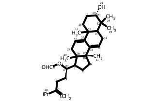 C=C(CC[C@@H](OC=O)C1CC[C@@]2(C)C3=CCC4C(C)(CC[C@H](O)C4(C)C)C3=CCC12C)C(C)C